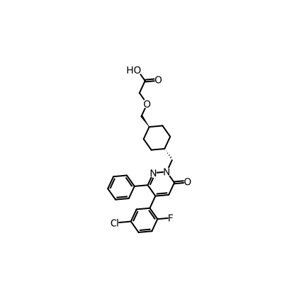 O=C(O)COC[C@H]1CC[C@H](Cn2nc(-c3ccccc3)c(-c3cc(Cl)ccc3F)cc2=O)CC1